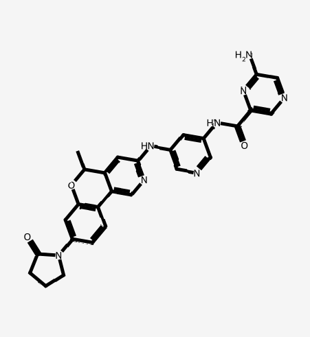 CC1Oc2cc(N3CCCC3=O)ccc2-c2cnc(Nc3cncc(NC(=O)c4cncc(N)n4)c3)cc21